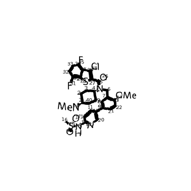 CN[C@H]1CC[C@H](N(Cc2cc(-c3ccc(NS(C)(=O)=O)nc3)ccc2OC)C(=O)c2sc3c(F)ccc(F)c3c2Cl)CC1